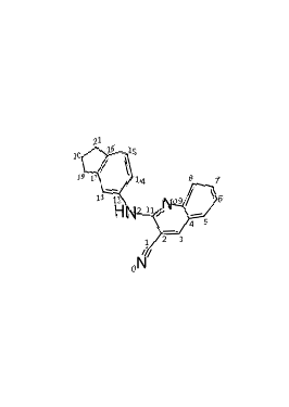 N#Cc1cc2ccccc2nc1Nc1ccc2c(c1)CCC2